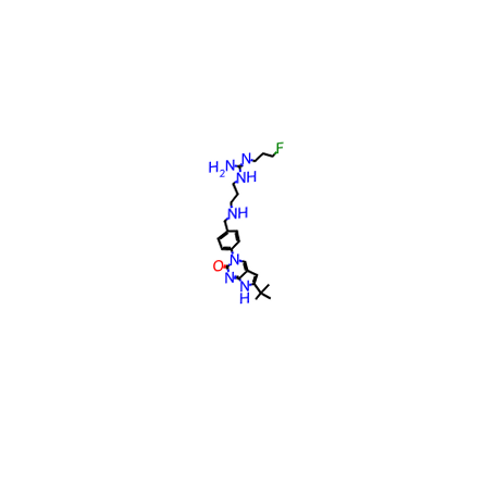 CC(C)(C)c1cc2cn(-c3ccc(CNCCCN/C(N)=N\CCCF)cc3)c(=O)nc2[nH]1